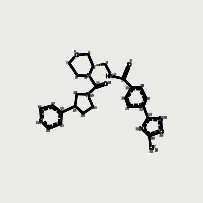 O=C(NC[C@H]1COCCN1C(=O)N1CCC(c2ccncc2)C1)c1ccc(-c2noc(C(F)(F)F)n2)cc1